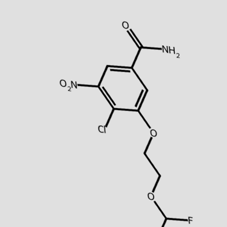 NC(=O)c1cc(OCCOC(F)F)c(Cl)c([N+](=O)[O-])c1